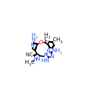 Cc1ccc2c(c1)[C@@H](C)Oc1cc(cnc1N)-c1c(nn(C)c1C#N)Cn1c(=N)nc(N)n1-2